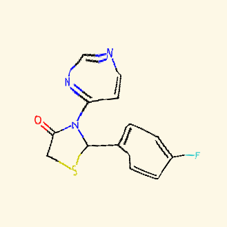 O=C1CSC(c2ccc(F)cc2)N1c1ccncn1